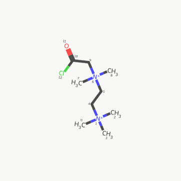 C[N+](C)(C)CC[N+](C)(C)CC(=O)Cl